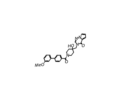 COc1cccc(-c2ccc(C(=O)N3CCC(O)(Cn4cnn5cccc5c4=O)CC3)cc2)c1